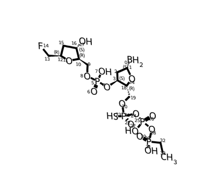 B[C@H]1C[C@H](OP(=O)(O)OC[C@H]2O[C@@H](CF)C[C@@H]2O)[C@@H](COP(=O)(S)OP(=O)(O)OP(=O)(O)CC)O1